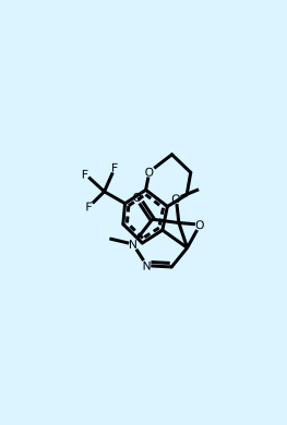 COC12OC1(c1ccc(C(F)(F)F)c3c1CCCO3)C=NN(C)C2=O